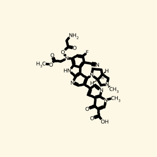 COC(=O)CN(OC(=O)CN)c1cc(F)c(C#N)c2c1[nH]c1ncc(-c3cnc4c(c3)c(=O)c(C(=O)O)cn4C)c(N3CC[C@H]4CN(C)C[C@H]43)c12